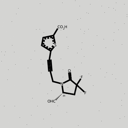 O=C[C@H]1CC(F)(F)C(=O)N1CC#Cc1ccc(C(=O)O)s1